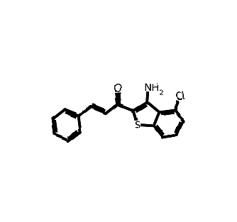 Nc1c(C(=O)/C=C/c2ccccc2)sc2cccc(Cl)c12